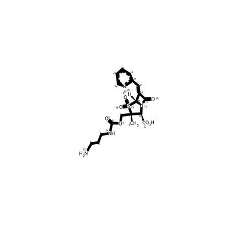 C[C@]1(COC(=O)NCCCN)[C@H](C(=O)O)N2C(=O)/C(=C/c3ccccn3)[C@H]2S1(=O)=O